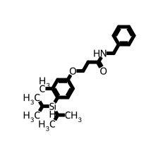 Cc1cc(OCCC(=O)NCc2ccccc2)ccc1[SiH](C(C)C)C(C)C